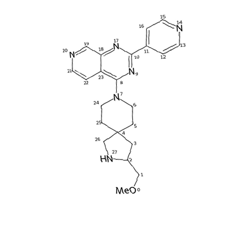 COCC1CC2(CCN(c3nc(-c4ccncc4)nc4cnccc34)CC2)CN1